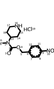 CCCN(C(=O)OCc1ccc([N+](=O)[O-])cc1)C1CCNCC1.Cl